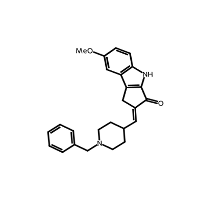 COc1ccc2[nH]c3c(c2c1)CC(=CC1CCN(Cc2ccccc2)CC1)C3=O